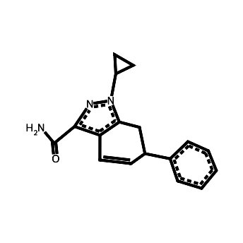 NC(=O)c1nn(C2CC2)c2c1C=CC(c1ccccc1)C2